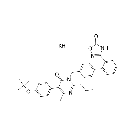 CCCc1nc(C)c(-c2ccc(OC(C)(C)C)cc2)c(=O)n1Cc1ccc(-c2ccccc2-c2noc(=O)[nH]2)cc1.[KH]